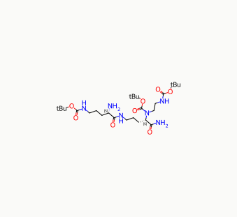 CC(C)(C)OC(=O)NCCC[C@H](N)C(=O)NCCC[C@@H](C(N)=O)N(CCNC(=O)OC(C)(C)C)C(=O)OC(C)(C)C